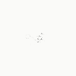 CCC[C@@H](C)Oc1nc(N)c2nc(OC)n(CCC3CCOCC3)c2n1